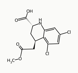 COC(=O)C[C@H]1C[C@H](C(=O)O)Nc2cc(Cl)cc(Cl)c21